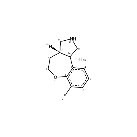 Fc1cccc2c1OCC[C@@H]1CNC[C@@H]21